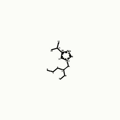 CCCC(CC)Cn1cnc(C(C)C)c1